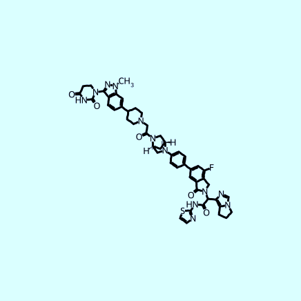 Cn1nc(N2CCC(=O)NC2=O)c2ccc(C3CCN(CC(=O)N4C[C@H]5C[C@H]4CN5c4ccc(-c5cc(F)c6c(c5)C(=O)N(C(C(=O)Nc5nccs5)c5ncn7c5CCC7)C6)cc4)CC3)cc21